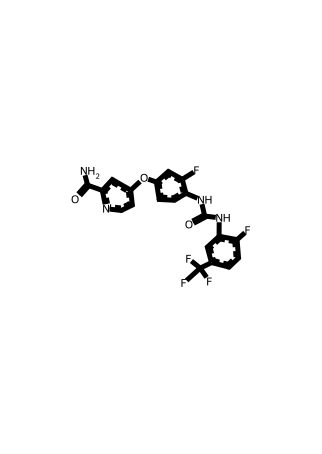 NC(=O)c1cc(Oc2ccc(NC(=O)Nc3cc(C(F)(F)F)ccc3F)c(F)c2)ccn1